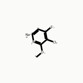 COc1nccc([S-])c1Cl.[Na+]